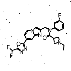 CCN1CC(C(=O)N(Cc2cn3ccc(-c4nnc(C(F)F)o4)cc3n2)c2cccc(F)c2)C1